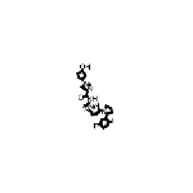 O=C(Nc1cnc2ccc(N3CCCC3c3cc(F)ccc3F)nn12)c1cn(C2CCC(O)C2)cn1